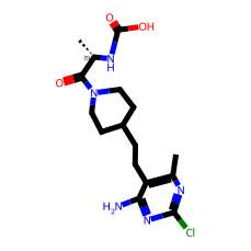 Cc1nc(Cl)nc(N)c1CCC1CCN(C(=O)[C@H](C)NC(=O)O)CC1